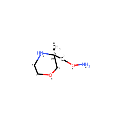 C[C@]1(CON)COCCN1